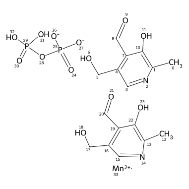 Cc1ncc(CO)c(C=O)c1O.Cc1ncc(CO)c(C=O)c1O.O=P([O-])([O-])OP(=O)(O)O.[Mn+2]